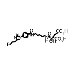 O=C(O)CC[C@@H](C(=O)O)N(O)C(=O)NCCCCCNC(=O)c1ccc(-n2cc(CCCF)nn2)cc1